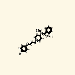 O=CN(c1n[nH]c2ccccc12)C1CCN(CCCOc2ccc(F)cc2)CC1